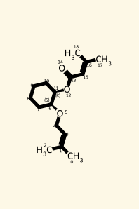 CC(C)=CCO[C@H]1CCCC[C@H]1OC(=O)C=C(C)C